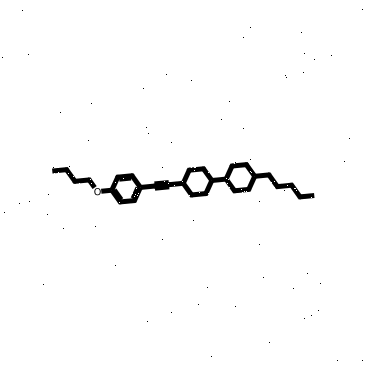 CCCCCC1CCC(C2CCC(C#Cc3ccc(OCCCC)cc3)CC2)CC1